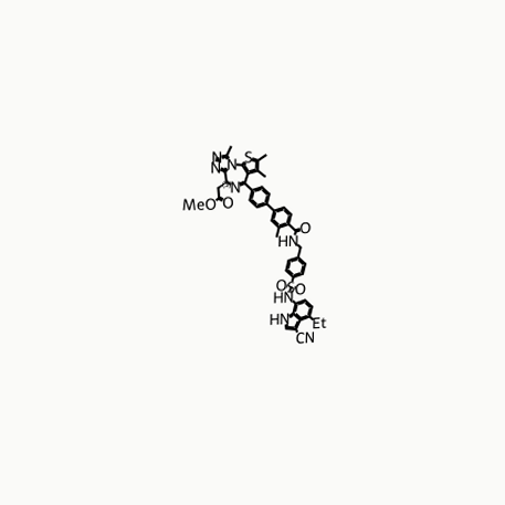 CCc1ccc(NS(=O)(=O)c2ccc(CNC(=O)c3ccc(-c4ccc(C5=N[C@@H](CC(=O)OC)c6nnc(C)n6-c6sc(C)c(C)c65)cc4)cc3C)cc2)c2[nH]cc(C#N)c12